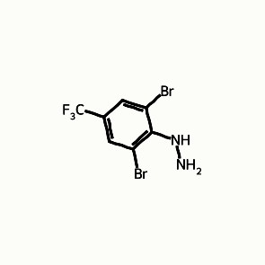 NNc1c(Br)cc(C(F)(F)F)cc1Br